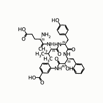 C=C(N[C@H](C(=O)N[C@@H](Cc1ccc(O)cc1)C(=O)N[C@@H](Cc1ccccc1)[C@@H](O)C(=O)Nc1cccc(C(=O)O)c1)C(C)C)[C@@H](N)CCC(=O)O